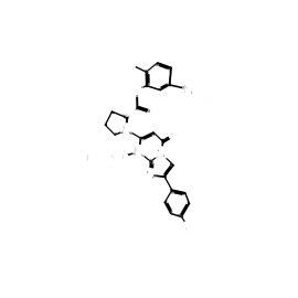 CCCCCn1c(N2CCC[C@H]2C(=O)Oc2cc(N)ccc2C)cc(=O)n2cc(-c3ccc(Cl)cc3)nc12